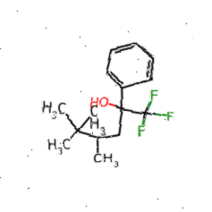 CC(CC(O)(c1ccccc1)C(F)(F)F)C(C)(C)C